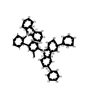 Cc1cc(-c2ccccc2-n2c3ccccc3c3ccccc32)ccc1-n1c2ccc(-c3ccccc3)cc2c2cc(-c3ccccc3)ccc21